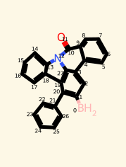 Bc1cc2c3ccccc3c(=O)n3c4ccccc4c(c1-c1ccccc1)c23